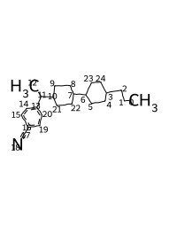 CCCC1CCC(C2CCC(C(C)c3ccc(C#N)cc3)CC2)CC1